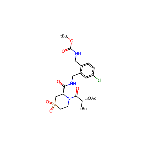 CC(=O)O[C@@H](C(=O)N1CCS(=O)(=O)C[C@H]1C(=O)NCc1cc(Cl)ccc1CNC(=O)OC(C)(C)C)C(C)(C)C